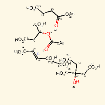 CC(=O)C(=O)OC(CC(=O)O)C(=O)O.CC(=O)O.CC(=O)OC(=O)CCC(=O)O.O=C(O)/C=C/C(=O)O.O=C(O)CC(O)(CC(=O)O)C(=O)O